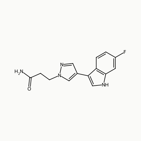 NC(=O)CCn1cc(-c2c[nH]c3cc(F)ccc23)cn1